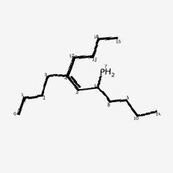 CCCCC(=CC(P)CCCC)CCCC